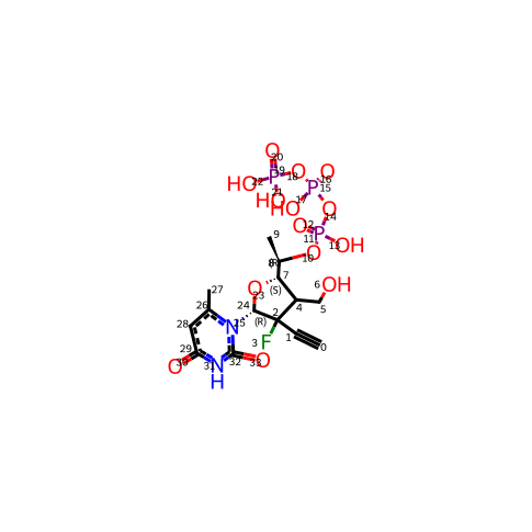 C#CC1(F)C(CO)[C@@H]([C@@H](C)OP(=O)(O)OP(=O)(O)OP(=O)(O)O)O[C@H]1n1c(C)cc(=O)[nH]c1=O